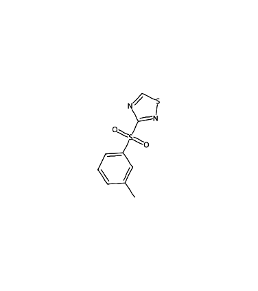 Cc1cccc(S(=O)(=O)c2ncsn2)c1